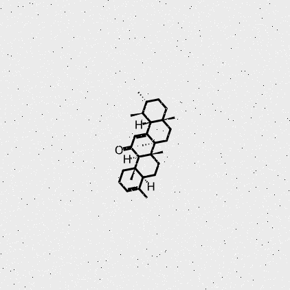 CC1=CCC[C@]2(C)[C@H]3C(=O)C=C4[C@@H]5[C@@H](C)[C@H](C)CC[C@]5(C)CC[C@@]4(C)[C@]3(C)CC[C@@H]12